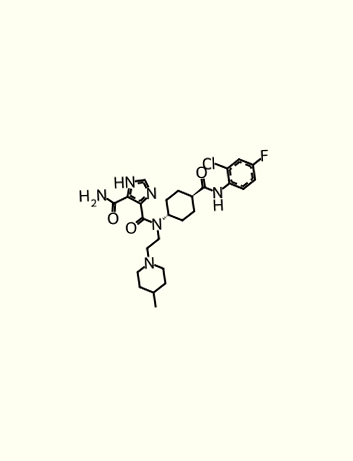 CC1CCN(CCN(C(=O)c2nc[nH]c2C(N)=O)[C@H]2CC[C@H](C(=O)Nc3ccc(F)cc3Cl)CC2)CC1